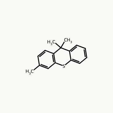 Cc1ccc2c(c1)Sc1ccccc1C2(C)C